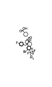 CC(F)(c1cc2c(cc1Br)[C@]1(Cc3ccc(F)cc3)CCN(C(=O)[C@H]3CC[C@H](C(=O)O)CC3)[C@@H]1CC2)C(F)(F)F